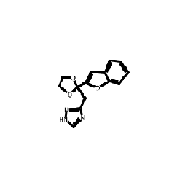 c1ccc2oc(C3(Cc4nc[nH]n4)OCCO3)cc2c1